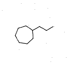 [CH2]CCC1CCCCCC1